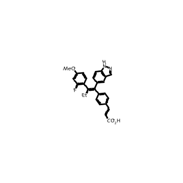 CC/C(=C(\c1ccc(C=CC(=O)O)cc1)c1ccc2[nH]ncc2c1)c1ccc(OC)cc1F